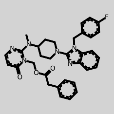 CN(c1nccc(=O)n1COC(=O)Cc1ccccc1)C1CCN(c2nc3ccccc3n2Cc2ccc(F)cc2)CC1